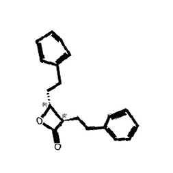 O=C1O[C@H](CCc2ccccc2)[C@H]1CCc1ccccc1